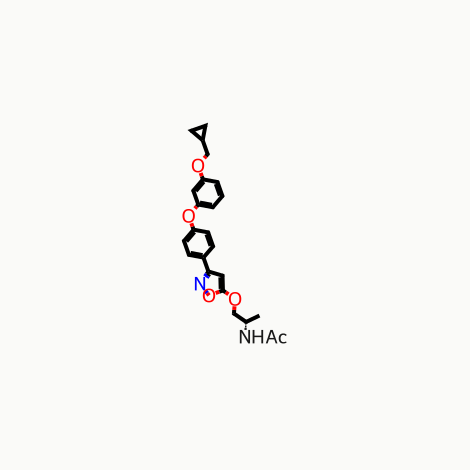 CC(=O)N[C@@H](C)COc1cc(-c2ccc(Oc3cccc(OCC4CC4)c3)cc2)no1